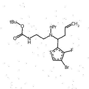 C=CCC(c1scc(Br)c1F)N(CCC)CCNC(=O)OC(C)(C)C